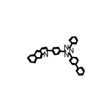 c1ccc(-c2ccc(-c3nc(-c4ccccc4)nc(-c4ccc(-c5ccc6cc7ccccc7cc6n5)cc4)n3)cc2)cc1